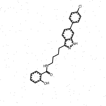 O=C(NCCCCc1n[nH]c2cc(-c3ccc(Cl)cc3)ccc12)c1ccccc1O